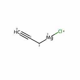 C#C[CH2][Mg][Cl]